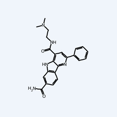 CN(C)CCNC(=O)c1cc(-c2ccccc2)nc2c1[nH]c1cc(C(N)=O)ccc12